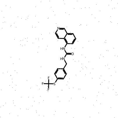 O=C(NCc1ccc(SC(F)(F)F)cc1)Nc1cccc2cnccc12